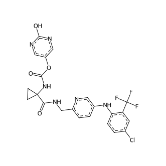 O=C(NC1(C(=O)NCc2ccc(Nc3ccc(Cl)cc3C(F)(F)F)cn2)CC1)Oc1cnc(O)nc1